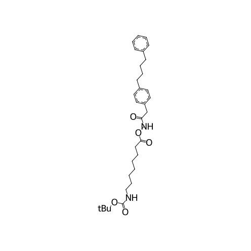 CC(C)(C)OC(=O)NCCCCCCCC(=O)ONC(=O)Cc1ccc(CCCCc2ccccc2)cc1